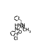 Cn1nc(Cc2ccccc2)nc1C(=O)Nc1cccc(Cl)c1F